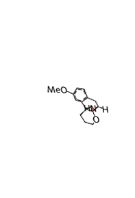 COc1ccc2c(c1)[C@@]13CCCO[C@@]1(C)[C@@H](C2)NCC3